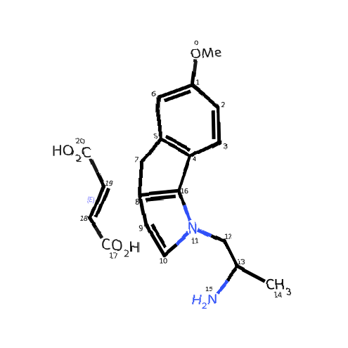 COc1ccc2c(c1)Cc1ccn(CC(C)N)c1-2.O=C(O)/C=C/C(=O)O